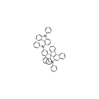 c1ccc(N(c2ccccc2)c2cc3ccccc3c3c2C2(c4ccccc4-c4ccc(N(c5ccccc5)c5cccc6c5c5ccccc5n6-c5ccccc5)cc42)c2ccccc2-3)cc1